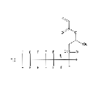 C=CC(=O)OC(CCCC)CS(=O)(=O)C(F)(F)C(F)(F)C(F)(F)C(F)(F)C(F)(F)C(F)(F)C(F)(F)C(F)(F)F